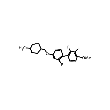 COc1ccc(-c2ccc(OCC3CCC(C)CC3)cc2F)c(F)c1F